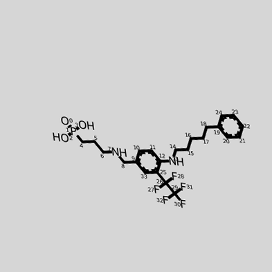 O=P(O)(O)CCCNCc1ccc(NCCCCCc2ccccc2)c(C(F)(F)C(F)(F)F)c1